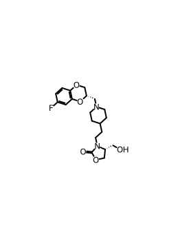 O=C1OC[C@@H](CO)N1CCC1CCN(C[C@H]2COc3ccc(F)cc3O2)CC1